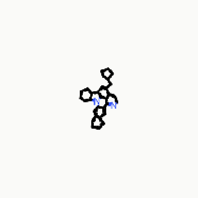 c1ccc2cc3c(cc2c1)c1nccc2c(CC4CCCC4)cc4c5ccccc5n3c4c21